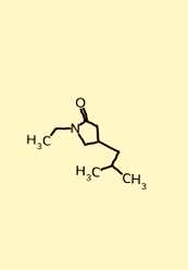 CCN1CC(CC(C)C)CC1=O